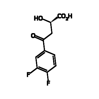 O=C(C[C@H](O)C(=O)O)c1ccc(F)c(F)c1